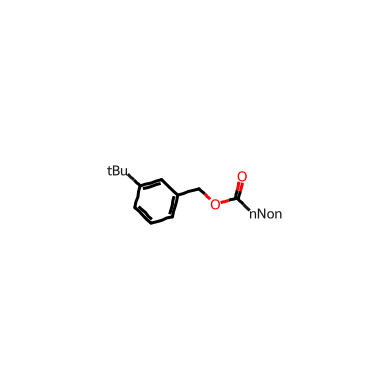 CCCCCCCCCC(=O)OCc1cccc(C(C)(C)C)c1